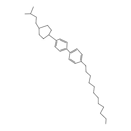 CCCCCCCCCCCCc1ccc(-c2ccc(C3CCC(CCC(C)C)CC3)cc2)cc1